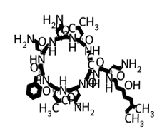 CCC(C)CCC(O)CC(=O)N[C@H](CCN)C(=O)N[C@H]1CCNC(=O)[C@H](CC(C)C)NC(=O)[C@H](CCN)NC(=O)[C@H](CCN)NC(=O)[C@@H](Cc2ccccc2)NC(=O)[C@H](CC(C)C)NC(=O)[C@H](CCN)NC1=O